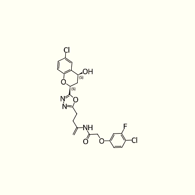 C=C(CCc1nnc([C@@H]2C[C@H](O)c3cc(Cl)ccc3O2)o1)NC(=O)COc1ccc(Cl)c(F)c1